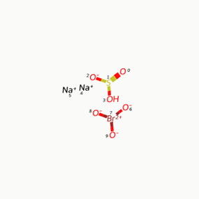 O=S([O-])O.[Na+].[Na+].[O-][Br+2]([O-])[O-]